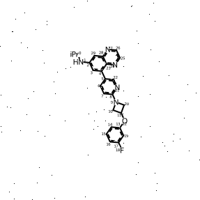 CC(C)Nc1cc(-c2ccc(N3CC(Oc4cccc(F)c4)C3)nc2)c2nccnc2c1